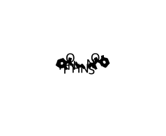 Cc1ccccc1C(=O)c1csc(NCCCNC(=O)c2ccccc2F)n1